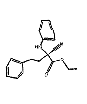 CCOC(=O)[C@](C#N)(CCc1ccccc1)Nc1ccccc1